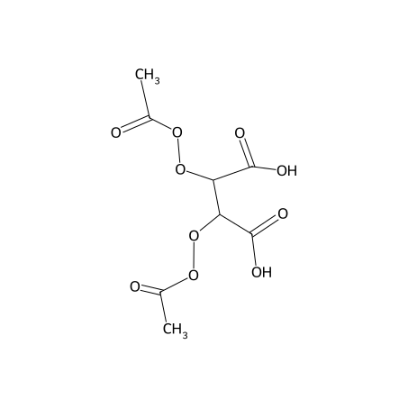 CC(=O)OOC(C(=O)O)C(OOC(C)=O)C(=O)O